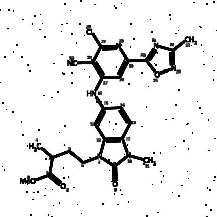 COC(=O)C(C)CCn1c(=O)n(C)c2ccc(Nc3cc(-c4nc(C)no4)nc(Cl)c3C#N)cc21